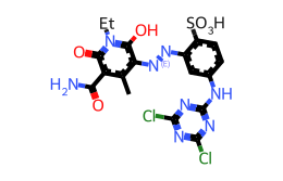 CCn1c(O)c(/N=N/c2cc(Nc3nc(Cl)nc(Cl)n3)ccc2S(=O)(=O)O)c(C)c(C(N)=O)c1=O